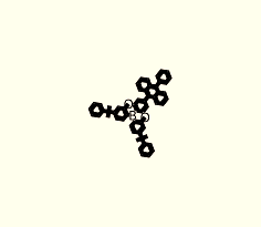 CC(C)(c1ccccc1)c1ccc2c(c1)Oc1cc(-c3c4ccccc4c(-c4ccccc4)c4ccccc34)cc3c1B2c1ccc(C(C)(C)c2ccccc2)cc1O3